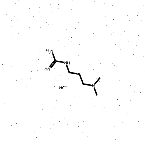 CN(C)CCCNC(=N)N.Cl